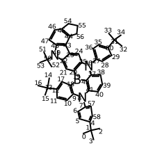 CC(C)(C)c1ccc(N2c3ccc(C(C)(C)C)cc3B3c4cc5c(cc4N(c4ccc(C(C)(C)C)cc4)c4cccc2c43)c2c3c(ccc2n5C(C)(C)C)CCC3)cc1